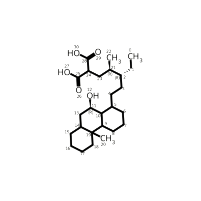 CC[C@H](CCC1CCCC2C1[C@H](O)CC1CCCCC12C)[C@H](C)CC(C(=O)O)C(=O)O